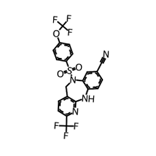 N#Cc1ccc2c(c1)N(S(=O)(=O)c1ccc(OC(F)(F)F)cc1)Cc1ccc(C(F)(F)F)nc1N2